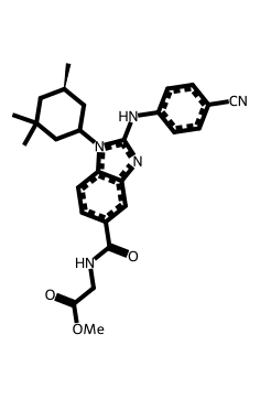 COC(=O)CNC(=O)c1ccc2c(c1)nc(Nc1ccc(C#N)cc1)n2C1C[C@H](C)CC(C)(C)C1